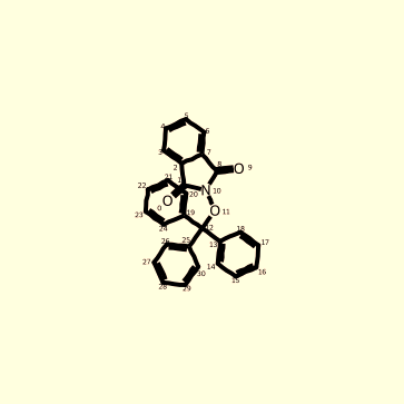 O=C1c2ccccc2C(=O)N1OC(c1ccccc1)(c1ccccc1)c1ccccc1